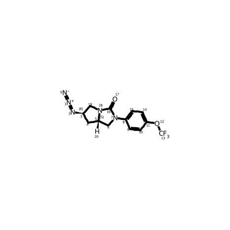 [N-]=[N+]=N[C@@H]1C[C@H]2CN(c3ccc(OC(F)(F)F)cc3)C(=O)N2C1